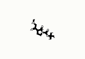 COCC(=O)C1CCN(C(=O)OC(C)(C)C)C1=O